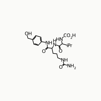 CC(C)C(NC(=O)O)C(=O)NC(CCCNC(N)=O)C(=O)Nc1ccc(CO)cc1